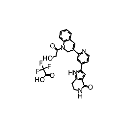 O=C(O)C(F)(F)F.O=C1NCCc2[nH]c(-c3ccnc(C4=Cc5ccccc5N(C(=O)CO)C4)c3)cc21